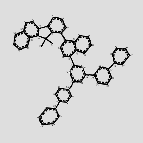 CC1(C)c2c(cccc2-c2ccc(-c3nc(-c4ccc(-c5ccccc5)cc4)cc(-c4cccc(-c5ccccc5)c4)n3)c3ccccc23)-c2ccc3ccccc3c21